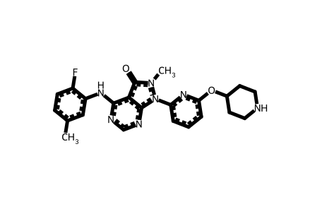 Cc1ccc(F)c(Nc2ncnc3c2c(=O)n(C)n3-c2cccc(OC3CCNCC3)n2)c1